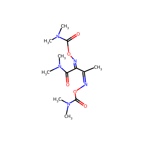 CC(=NOC(=O)N(C)C)C(=NOC(=O)N(C)C)C(=O)N(C)C